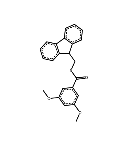 COc1cc(OC)cc(C(=O)SCC2c3ccccc3-c3ccccc32)c1